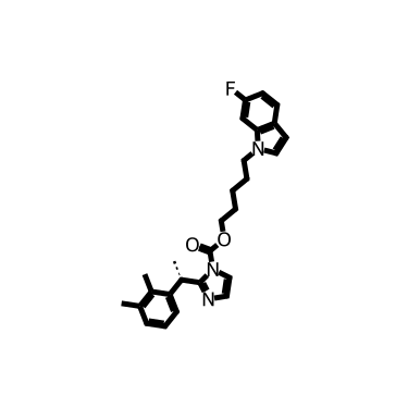 Cc1cccc([C@H](C)c2nccn2C(=O)OCCCCCn2ccc3ccc(F)cc32)c1C